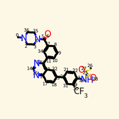 CN1CCN(C(=O)c2cccc(-c3ncnc4ccc(-c5ccc(NS(C)(=O)=O)c(C(F)(F)F)c5)cc34)c2)CC1